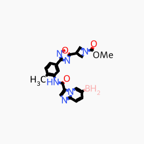 Bc1ccc2ncc(C(=O)Nc3cc(-c4noc(C5CN(C(=O)OC)C5)n4)ccc3C)n2c1